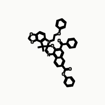 CC1(C)c2c(ccc3c2OCO3)N(CCOc2ccccc2)C12C=Nc1c(c(C(=O)c3ccccc3)cc3cc(C(=O)Oc4ccccc4)ccc13)O2